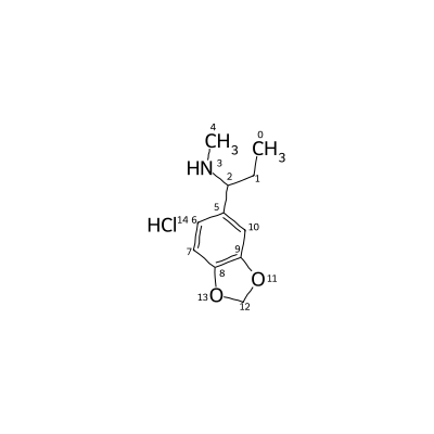 CCC(NC)c1ccc2c(c1)OCO2.Cl